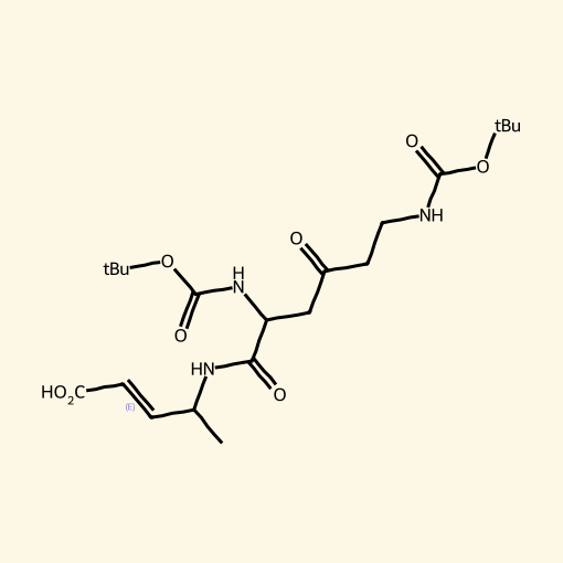 CC(/C=C/C(=O)O)NC(=O)C(CC(=O)CCNC(=O)OC(C)(C)C)NC(=O)OC(C)(C)C